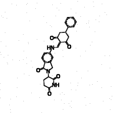 O=C1CCC(N2Cc3cc(NC=C4C(=O)CC(c5ccccc5)CC4=O)ccc3C2=O)C(=O)N1